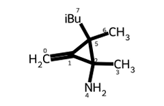 C=C1C(C)(N)C1(C)C(C)CC